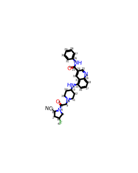 N#C[C@@H]1C[C@H](F)CN1C(=O)CN1CCC(Nc2cccc3ncc(C(=O)Nc4ccccc4)cc23)CC1